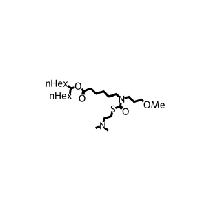 CCCCCCC(CCCCCC)OC(=O)CCCCCN(CCCOC)C(=O)SCCN(C)C